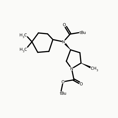 C[C@@H]1C[C@H](N(C(=O)C(C)(C)C)C2CCC(C)(C)CC2)CN1C(=O)OC(C)(C)C